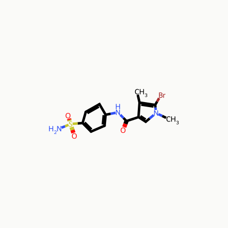 Cc1c(C(=O)Nc2ccc(S(N)(=O)=O)cc2)cn(C)c1Br